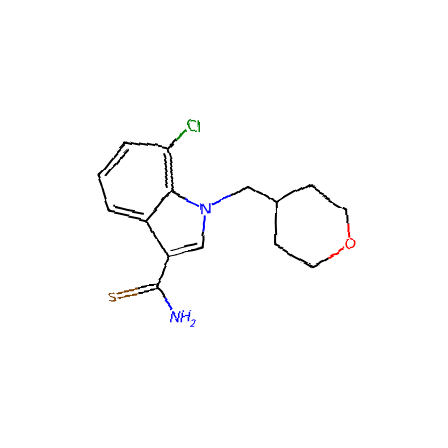 NC(=S)c1cn(CC2CCOCC2)c2c(Cl)cccc12